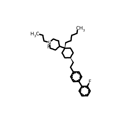 CCCCC[C@]1(C2CC[SiH](CCC)CC2)CC[C@H](CCc2ccc(-c3ccccc3F)cc2)CC1